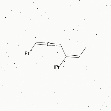 C/C=C(\C=C=CCC)C(C)C